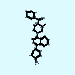 C[C@H]1CN(c2nnc(-c3ccc(C(F)(F)F)cc3)c3ccccc23)CCN1C(=O)c1ccccc1